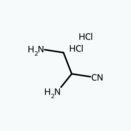 Cl.Cl.N#CC(N)CN